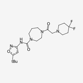 CC(C)(C)c1cc(NC(=O)N2CCCN(C(=O)CN3CCC(F)(F)CC3)CC2)no1